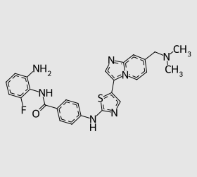 CN(C)Cc1ccn2c(-c3cnc(Nc4ccc(C(=O)Nc5c(N)cccc5F)cc4)s3)cnc2c1